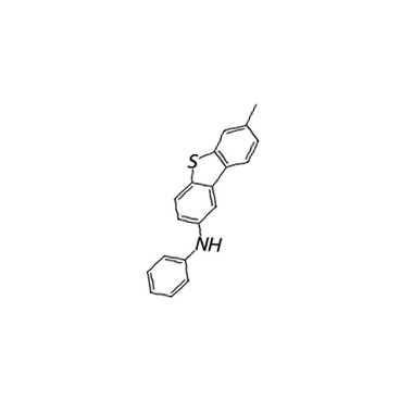 Cc1ccc2c(c1)sc1ccc(Nc3ccccc3)cc12